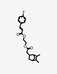 CC1C2CC(CC(=O)OCCOC(=O)/C=C/c3ccc(F)cc3)C(C2)C1C